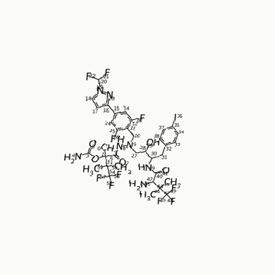 CC(OC(N)=O)(C(=O)NN(Cc1c(F)cc(-c2ccn(C(F)F)n2)cc1F)CC(O)C(Cc1ccc(I)cc1)NC(=O)C(N)C(C)(C)C(F)(F)F)C(C)(C)C(F)(F)F